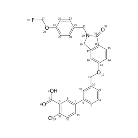 O=C(O)c1cc(-c2cccc(COc3ccc4c(c3)CN(Cc3ccc(OCF)cc3)C4=O)c2)ccc1Cl